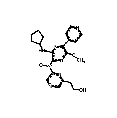 COc1nc([S+]([O-])c2cncc(CCO)n2)c(NC2CCCC2)nc1-c1ccncc1